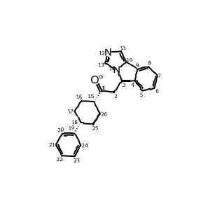 O=C(CC1c2ccccc2-c2cncn21)[C@H]1CC[C@@H](c2ccccc2)CC1